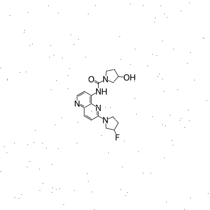 O=C(Nc1ccnc2ccc(N3CCC(F)C3)nc12)N1CCC(O)C1